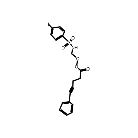 O=C(CCC#Cc1ccccc1)OOCNS(=O)(=O)c1ccc(I)cc1